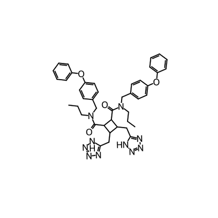 CCCN(Cc1ccc(Oc2ccccc2)cc1)C(=O)C1C(Cc2nnn[nH]2)C(Cc2nnn[nH]2)C1C(=O)N(CCC)Cc1ccc(Oc2ccccc2)cc1